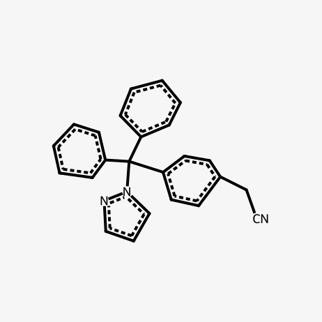 N#CCc1ccc(C(c2ccccc2)(c2ccccc2)n2cccn2)cc1